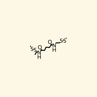 CSSCCNC(=O)CCCC(=O)NC(C)SSC